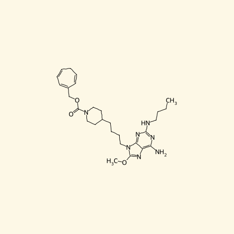 CCCCNc1nc(N)c2nc(OC)n(CCCCC3CCN(C(=O)OCC4=CC=CCC=C4)CC3)c2n1